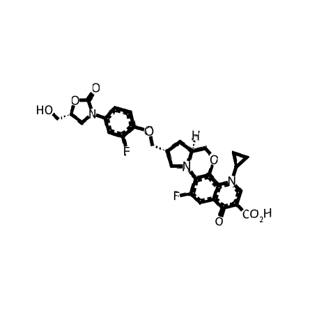 O=C(O)c1cn(C2CC2)c2c3c(c(F)cc2c1=O)N1C[C@H](COc2ccc(N4C[C@H](CO)OC4=O)cc2F)C[C@H]1CO3